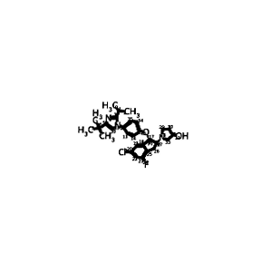 CC(C)c1nc(C(C)(C)C)cn1-c1ccc(O[C@@H]2c3cc(Cl)cc(F)c3C[C@@H]2N2CC[C@@H](O)C2)cc1